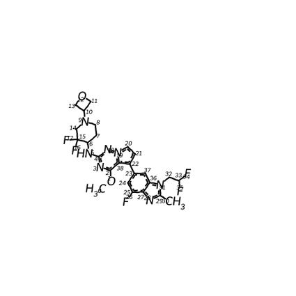 COc1nc(NC2CCN(C3COC3)CC2(F)F)nn2ccc(-c3cc(F)c4nc(C)n(CC(F)F)c4c3)c12